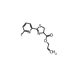 C=CCOC(=O)C1CSC(c2cccc(I)n2)=N1